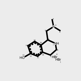 Br.Br.CN(C)CC1NCCc2cc(O)ccc21